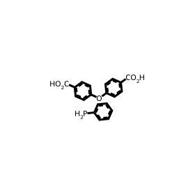 O=C(O)c1ccc(Oc2ccc(C(=O)O)cc2)cc1.Pc1ccccc1